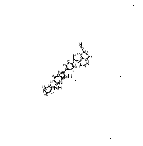 N#Cc1ccc2nccc(Nc3ccc(-c4nc5ccc(Nc6ccncc6)nc5[nH]4)cc3)c2c1